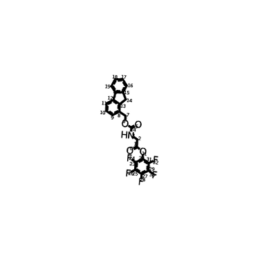 O=C(CNC(=O)OCc1cccc2c1Cc1ccccc1-2)Oc1c(F)c(F)c(F)c(F)c1F